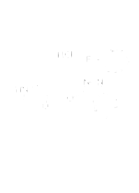 Cl.Fc1ccccc1-n1nc(OC[C@H]2CNCCO2)c2ccccc21